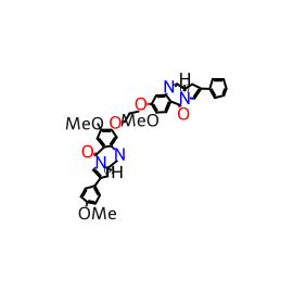 COc1ccc(C2=CN3C(=O)c4cc(OC)c(OCCCOc5cc6c(cc5OC)C(=O)N5C=C(c7ccccc7)C[C@H]5C=N6)cc4N=C[C@@H]3C2)cc1